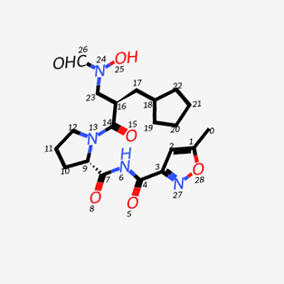 Cc1cc(C(=O)NC(=O)[C@@H]2CCCN2C(=O)[C@H](CC2CCCC2)CN(O)C=O)no1